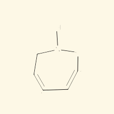 ON1CC=CC=CO1